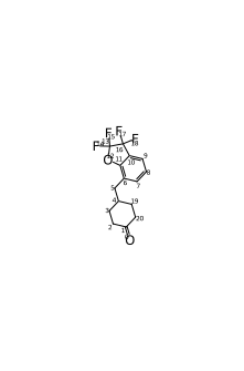 O=C1CCC(Cc2cccc3c2OC(F)(F)C3(F)F)CC1